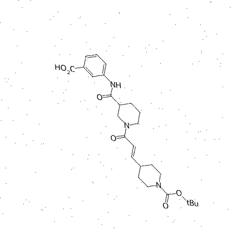 CC(C)(C)OC(=O)N1CCC(C=CC(=O)N2CCCC(C(=O)Nc3cccc(C(=O)O)c3)C2)CC1